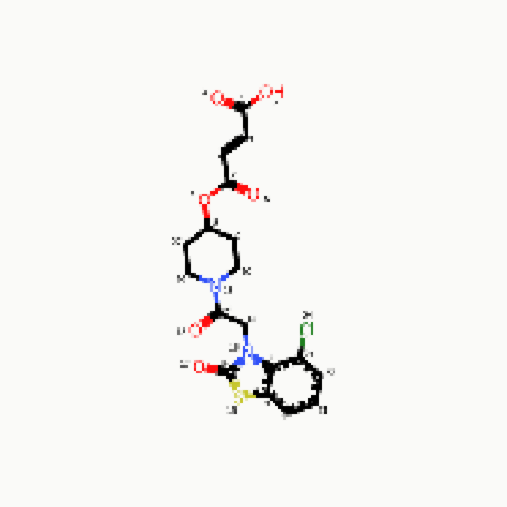 O=C(O)C=CC(=O)OC1CCN(C(=O)Cn2c(=O)sc3cccc(Cl)c32)CC1